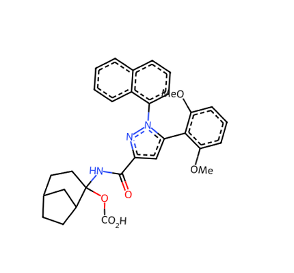 COc1cccc(OC)c1-c1cc(C(=O)NC2(OC(=O)O)CCC3CCC2C3)nn1-c1cccc2ccccc12